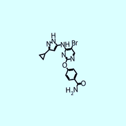 NC(=O)c1ccc(Oc2ncc(Br)c(Nc3cc(C4CC4)n[nH]3)n2)cc1